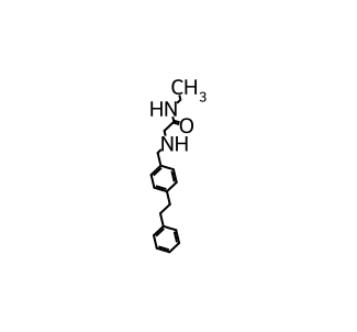 CCNC(=O)CNCc1ccc(CCc2ccccc2)cc1